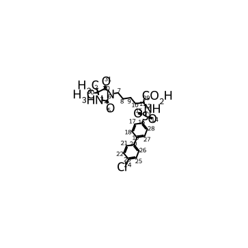 CC1(C)NC(=O)N(CCCCC(NS(=O)(=O)c2ccc(-c3ccc(Cl)cc3)cc2)C(=O)O)C1=O